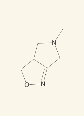 CN1CC2=NOCC2C1